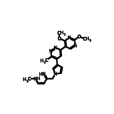 CN/C=C\C(=N)Cn1ccc(-c2cc(-c3cnc(OC)nc3OC)nnc2C)c1